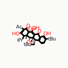 CC(=O)C1=C(O)C(C(C)C)[C@@]2(C)[C@H](O)[C@]3(C)C(=C(O)[C@@]2(O)C1=O)C(=O)c1c(ccc(C(C)(C)C)c1O)[C@H]3CC(C)(C)C